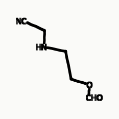 N#CCNCCOC=O